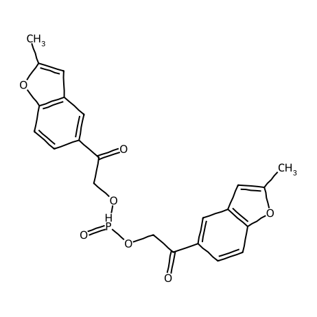 Cc1cc2cc(C(=O)CO[PH](=O)OCC(=O)c3ccc4oc(C)cc4c3)ccc2o1